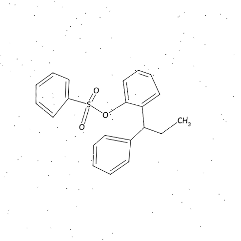 CCC(c1ccccc1)c1ccccc1OS(=O)(=O)c1ccccc1